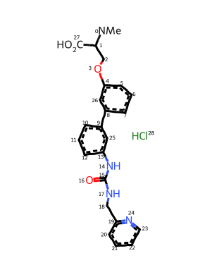 CNC(COc1cccc(-c2cccc(NC(=O)NCc3ccccn3)c2)c1)C(=O)O.Cl